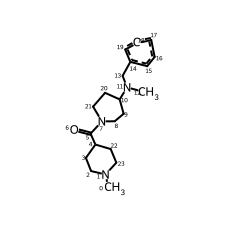 CN1CCC(C(=O)N2CCC(N(C)Cc3ccccc3)CC2)CC1